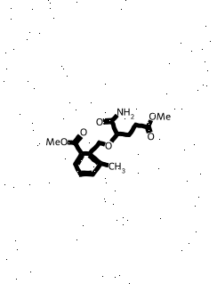 COC(=O)CCC(OCc1c(C)cccc1C(=O)OC)C(N)=O